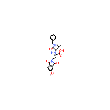 COc1ccc2c(c1)C(=O)N(CC[C@@H](N[C@@H](CC(C)C)C(=O)NCc1ccccc1)C(=O)O)C2=O